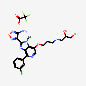 CCn1c(-c2nonc2N)nc2c(-c3cccc(Cl)c3)ncc(OCCCNCC(O)CO)c21.O=C(O)C(F)(F)F